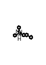 c1ccc(C2=NC(c3ccccc3)NC(c3ccc4cc(-c5ccccc5)ccc4c3)=N2)cc1